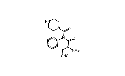 CNN(C[C]=O)C(=O)N(C(=O)N1CCNCC1)c1ccccc1